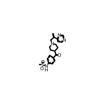 C=C(CN1CCC(C(=O)c2ccc(NS(C)(=O)=O)cc2)CC1)c1ccncn1